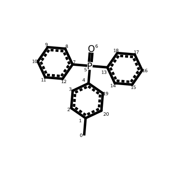 Cc1ccc(P(=O)(c2ccccc2)c2ccccc2)cc1